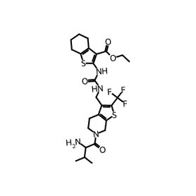 CCOC(=O)c1c(NC(=O)NCc2c(C(F)(F)F)sc3c2CCN(C(=O)C(N)C(C)C)C3)sc2c1CCCC2